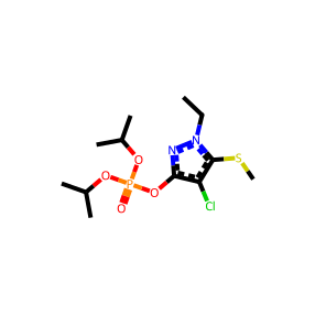 CCn1nc(OP(=O)(OC(C)C)OC(C)C)c(Cl)c1SC